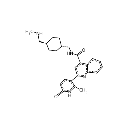 CNC[C@H]1CC[C@H](CNC(=O)c2cc(-c3ccc(=O)[nH]c3C)nc3ccccc23)CC1